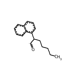 CCCCCC([C]=O)c1cccc2ccccc12